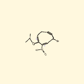 CC(C)OC1=C/CC#CC(Br)/C=C\1[N+](=O)[O-]